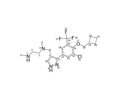 CNCCN(C)Cc1c[nH]nc1-c1cc(Cl)c(OCC2CCC2)c(C(F)(F)F)c1